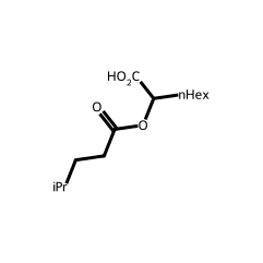 CCCCCCC(OC(=O)CCC(C)C)C(=O)O